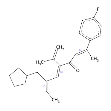 C=C(C)/C(=C\C(=C/C)CC1CCCC1)C(=O)/C=C(\C)c1ccc(F)cc1